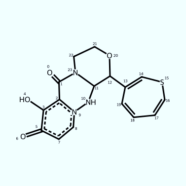 O=C1c2c(O)c(=O)ccn2NC2C(C3=CSC=CC=C3)OCCN12